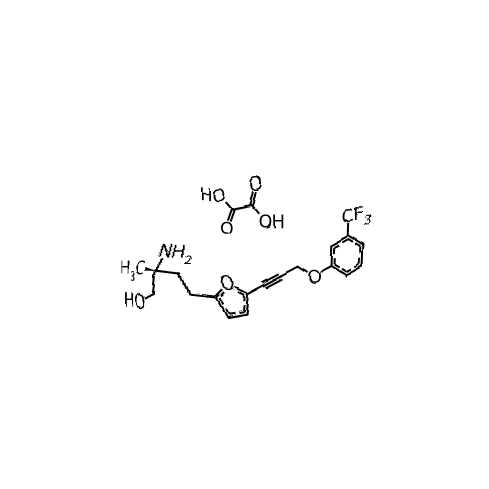 C[C@](N)(CO)CCc1ccc(C#CCOc2cccc(C(F)(F)F)c2)o1.O=C(O)C(=O)O